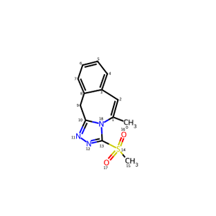 CC1=Cc2ccccc2Cc2nnc(S(C)(=O)=O)n21